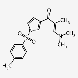 CC(=CN(C)C)C(=O)c1ccn(S(=O)(=O)c2ccc(C)cc2)c1